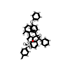 Cc1ccc(S(=O)(=O)n2cc(-c3c(C)cccc3C)c(C3(c4ccc(Oc5ccccc5)cc4)OC3(c3ccccc3)c3ccccc3)c2)cc1